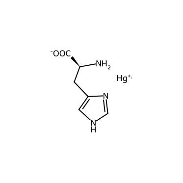 N[C@@H](Cc1c[nH]cn1)C(=O)[O-].[Hg+]